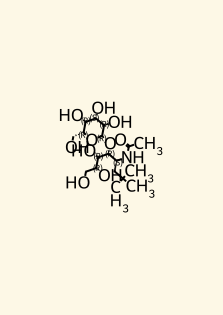 CC(=O)N[C@@H](CC(C)(C)C)[C@@H](O[C@@H]1O[C@H](CO)[C@H](O)[C@H](O)[C@H]1O)[C@H](O)[C@H](O)CO